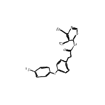 CCc1ncnc(NC(=O)Cc2ccc(Oc3ccc(C(F)(F)F)cc3)cc2)c1Cl